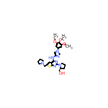 COc1cc(-n2cnc(Nc3nc(N4CCC[C@H]4CO)nc4sc(CN5CCCC5)cc34)c2)cc(OC)c1OC